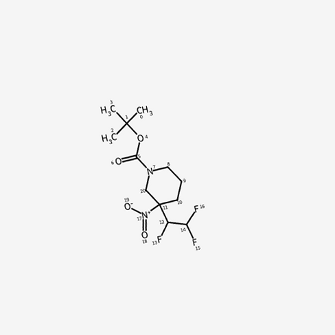 CC(C)(C)OC(=O)N1CCCC(C(F)C(F)F)([N+](=O)[O-])C1